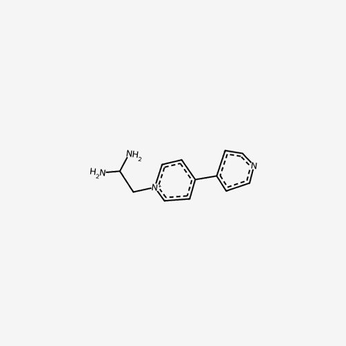 NC(N)C[n+]1ccc(-c2ccncc2)cc1